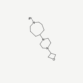 CC(C)N1CCCC(N2CCN(C3COC3)CC2)CCC1